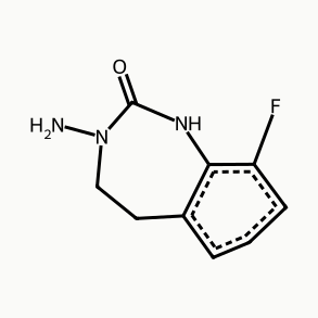 NN1CCc2cccc(F)c2NC1=O